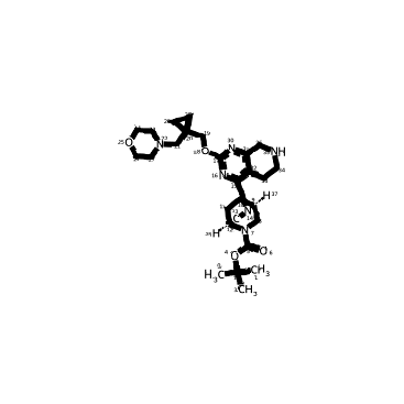 CC(C)(C)OC(=O)N1C[C@@H]2CC[C@H]1CN2c1nc(OCC2(CN3CCOCC3)CC2)nc2c1CCNC2